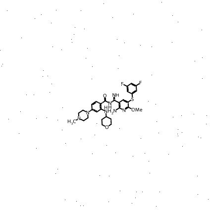 COc1nc(N)c(C(=N)NC(=O)c2ccc(N3CCN(C)CC3)cc2NC2CCOCC2)cc1Sc1cc(F)cc(F)c1